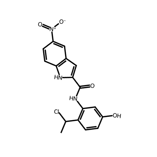 CC(Cl)c1ccc(O)cc1NC(=O)c1cc2cc([N+](=O)[O-])ccc2[nH]1